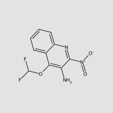 Nc1c([N+](=O)[O-])nc2ccccc2c1OC(F)F